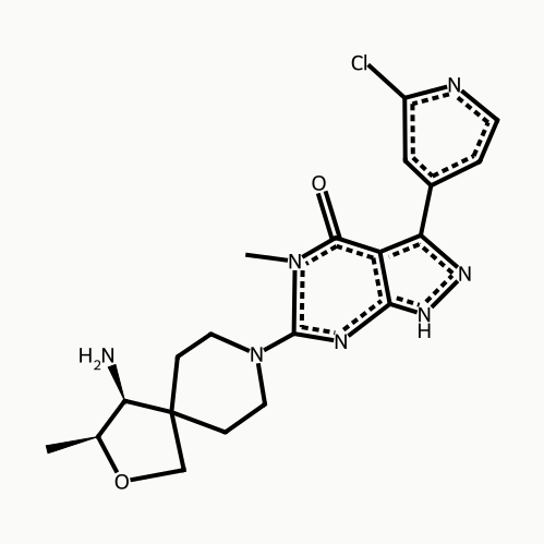 C[C@@H]1OCC2(CCN(c3nc4[nH]nc(-c5ccnc(Cl)c5)c4c(=O)n3C)CC2)[C@@H]1N